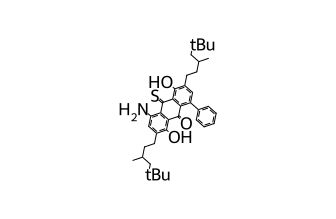 CC(CCc1cc(N)c2c(c1O)C(=O)c1c(-c3ccccc3)cc(CCC(C)CC(C)(C)C)c(O)c1C2=S)CC(C)(C)C